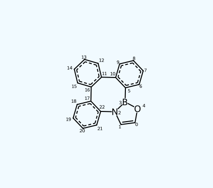 C1=CN2B(O1)c1ccccc1-c1ccccc1-c1ccccc12